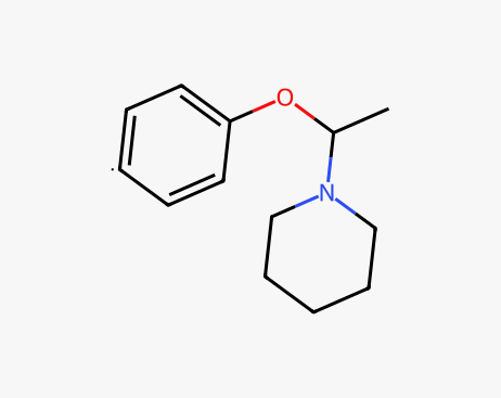 CC(Oc1cc[c]cc1)N1CCCCC1